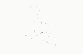 C.C[C@]12CC[C@@]34OC5CC(=O)C=C(CC(C(=O)O)[C@H]3[C@@H]1CC[C@]2(O)CCC(=O)O)[C@]54C